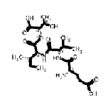 CC[C@H](C)[C@H](NC(=O)[C@@H](NC(=O)[C@@H](N)CCC(=O)O)C(C)C)C(=O)N[C@H](C(=O)O)[C@@H](C)O